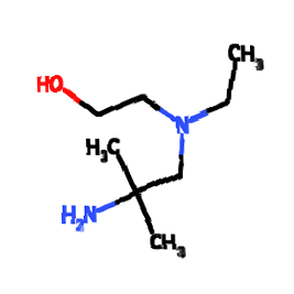 CCN(CCO)CC(C)(C)N